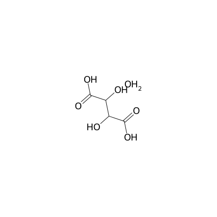 O.O=C(O)C(O)C(O)C(=O)O